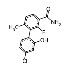 Cc1ccc(C(N)=O)c(F)c1-c1ccc(Cl)cc1O